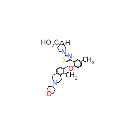 Cc1ccc(OCc2ccc3c(c2C)CCN(C2CCOCC2)CC3)c(-c2csc(N3CC[C@@]4(C(=O)O)C[C@H]4C3)n2)c1